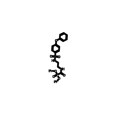 CC(C)OP(=O)(OC(C)C)C(=O)NCCNS(=O)(=O)c1ccc(Oc2ccccc2)cc1